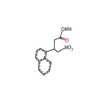 COC(=O)CC(C[N+](=O)[O-])c1cccc2ccccc12